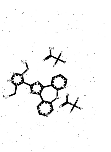 CCc1n[nH]c(CC)c1-c1nc2c([nH]1)-c1ccncc1Nc1ncccc1-2.O=C(O)C(F)(F)F.O=C(O)C(F)(F)F